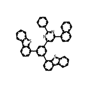 c1ccc(-c2nc(-c3cc(-c4cccc5c4sc4ccccc45)cc(-c4cccc5c4sc4ccccc45)c3)cc(-c3cccc4ccccc34)n2)cc1